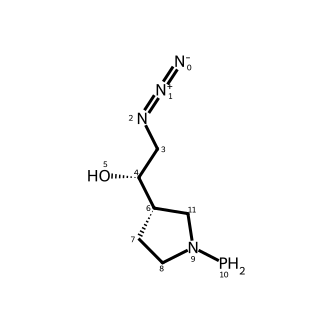 [N-]=[N+]=NC[C@@H](O)[C@H]1CCN(P)C1